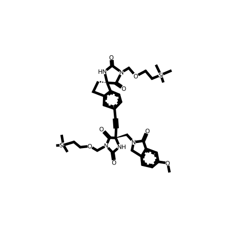 COc1ccc2c(c1)C(=O)N(C[C@@]1(C#Cc3ccc4c(c3)CC[C@@]43NC(=O)N(COCC[Si](C)(C)C)C3=O)NC(=O)N(COCC[Si](C)(C)C)C1=O)C2